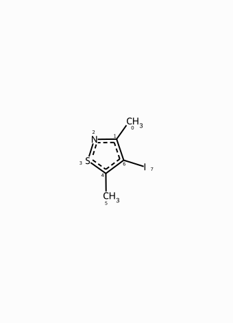 Cc1nsc(C)c1I